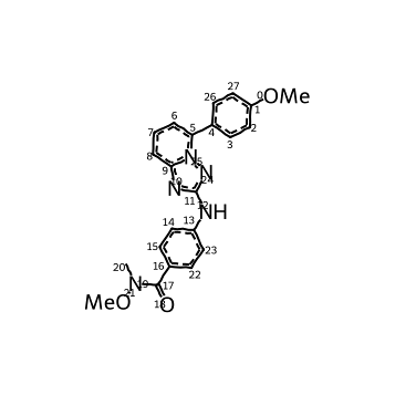 COc1ccc(-c2cccc3nc(Nc4ccc(C(=O)N(C)OC)cc4)nn23)cc1